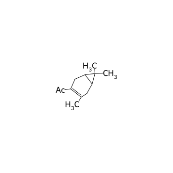 CC(=O)C1=C(C)CC2C(C1)C2(C)C